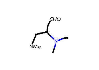 CNCC(C=O)N(C)C